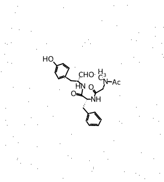 CC(=O)N(C)CC(=O)N[C@H](Cc1ccccc1)C(=O)N[C@@H]([C]=O)Cc1ccc(O)cc1